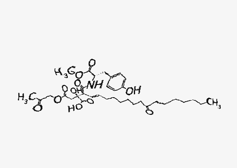 CCCCCCCC(=O)CCCCCC/C=C/[C@H](C(=O)N[C@@H](Cc1ccc(O)cc1)C(=O)OC)[C@@](O)(CC(=O)OCC(C)=O)C(=O)O